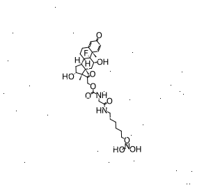 C[C@]12C=CC(=O)C=C1CC[C@H]1[C@@H]3C[C@@H](O)[C@@](C)(C(=O)COC(=O)NCC(=O)NCCCCCCON(O)O)[C@@]3(C)C[C@H](O)[C@@]12F